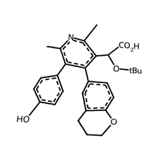 Cc1nc(C)c(C(OC(C)(C)C)C(=O)O)c(-c2ccc3c(c2)CCCO3)c1-c1ccc(O)cc1